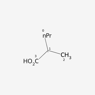 [CH2]CC[C](C)C(=O)O